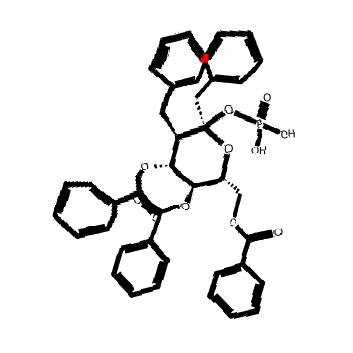 O=C(OC[C@H]1O[C@](Cc2ccccc2)(OP(=O)(O)O)[C@H](Cc2ccccc2)[C@@H](OC(=O)c2ccccc2)[C@@H]1OC(=O)c1ccccc1)c1ccccc1